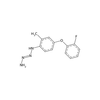 Cc1cc(Oc2ccccc2F)ccc1NN=NN